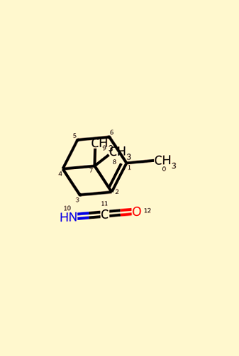 CC1=C2CC(CC1)C2(C)C.N=C=O